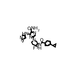 Cn1cc(Nc2nc(N3CCC(F)(F)[C@H](NC(=O)c4ccc(C5CC5)cc4)C3)cnc2C(N)=O)cn1